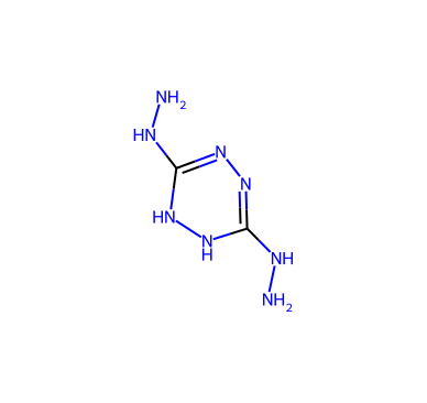 NNC1=NN=C(NN)NN1